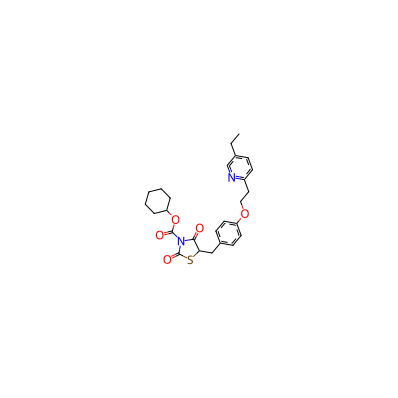 CCc1ccc(CCOc2ccc(CC3SC(=O)N(C(=O)OC4CCCCC4)C3=O)cc2)nc1